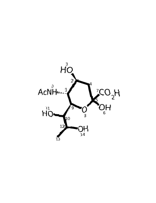 CC(=O)N[C@@H]1[C@@H](O)CC(O)(C(=O)O)O[C@H]1C(O)C(C)O